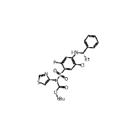 CC[C@H](Nc1cc(F)c(S(=O)(=O)N(C(=O)OC(C)(C)C)c2cscn2)cc1Cl)c1ccccc1